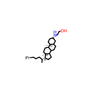 CC(C)CCCC(C)[C@H]1CCC2C3CCC4C[C@@H](NCCO)CC[C@]4(C)C3CC[C@@]21C